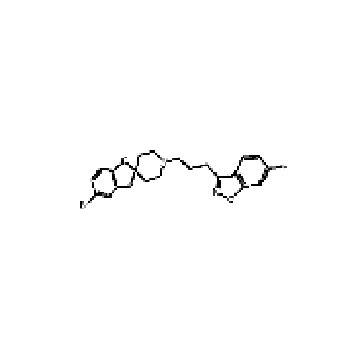 Fc1ccc2c(CCCN3CCC4(CC3)Cc3cc(Br)ccc3O4)noc2c1